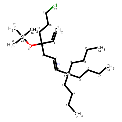 C=CC(C/C=[CH]/[Sn]([CH2]CCC)([CH2]CCC)[CH2]CCC)(CCCCl)O[Si](C)(C)C